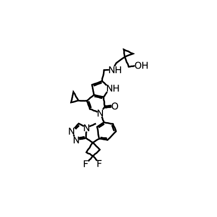 Cn1cnnc1C1(c2cccc(-n3cc(C4CC4)c4cc(CNCC5(CO)CC5)[nH]c4c3=O)c2)CC(F)(F)C1